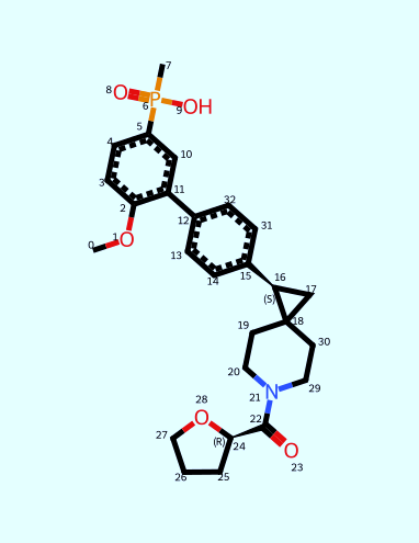 COc1ccc(P(C)(=O)O)cc1-c1ccc([C@H]2CC23CCN(C(=O)[C@H]2CCCO2)CC3)cc1